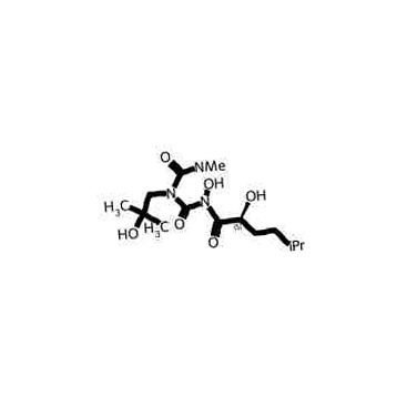 CNC(=O)N(CC(C)(C)O)C(=O)N(O)C(=O)[C@@H](O)CCC(C)C